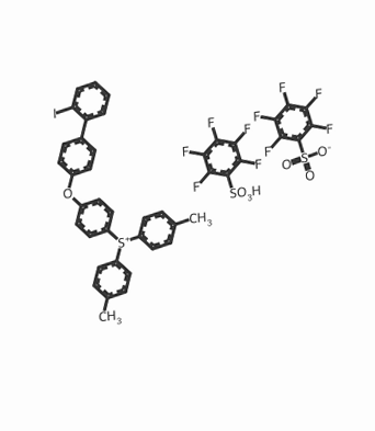 Cc1ccc([S+](c2ccc(C)cc2)c2ccc(Oc3ccc(-c4ccccc4I)cc3)cc2)cc1.O=S(=O)(O)c1c(F)c(F)c(F)c(F)c1F.O=S(=O)([O-])c1c(F)c(F)c(F)c(F)c1F